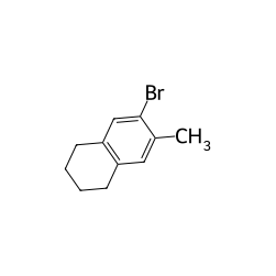 Cc1cc2c(cc1Br)CCCC2